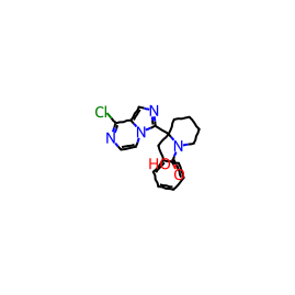 O=C(O)N1CCCCC1(Cc1ccccc1)c1ncc2c(Cl)nccn12